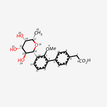 COc1c(-c2ccc(CC(=O)O)cc2)cccc1[C@H]1O[C@@H](C)[C@@H](O)[C@@H](O)[C@@H]1O